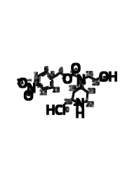 Cl.O=C(OCc1ccc([N+](=O)[O-])cc1)N(CCO)C1CCNCC1